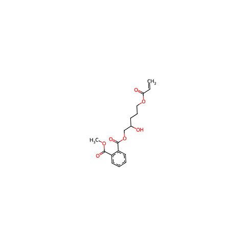 C=CC(=O)OCCCC(O)COC(=O)c1ccccc1C(=O)OC